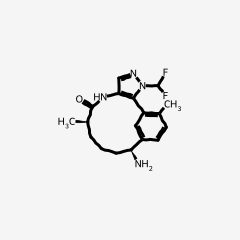 Cc1ccc2cc1-c1c(cnn1C(F)F)NC(=O)[C@H](C)CCC[C@@H]2N